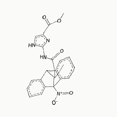 COC(=O)c1c[nH]c(NC(=O)C2(C)CC3([N+](=O)[O-])c4ccccc4C2c2ccccc23)n1